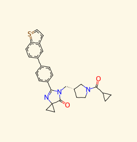 O=C(C1CC1)N1CC[C@H](CN2C(=O)C3(CC3)N=C2c2ccc(-c3ccc4sccc4c3)cc2)C1